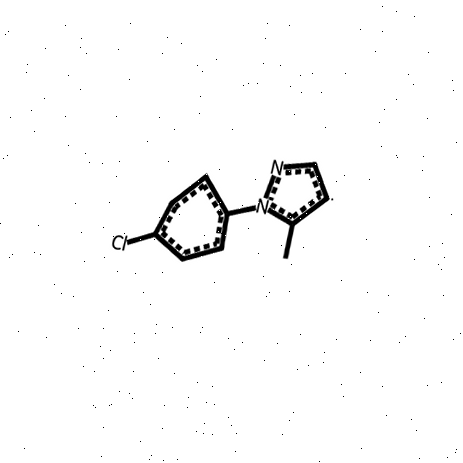 Cc1[c]cnn1-c1ccc(Cl)cc1